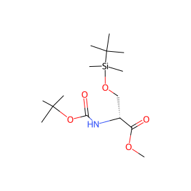 COC(=O)[C@@H](CO[Si](C)(C)C(C)(C)C)NC(=O)OC(C)(C)C